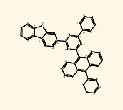 C1=CCCC(c2c3ccccc3c(-c3nc(-c4ccccc4)nc(-c4ccc5c(c4)oc4ccccc45)n3)c3ccccc23)=C1